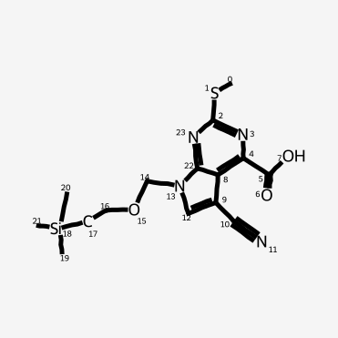 CSc1nc(C(=O)O)c2c(C#N)cn(COCC[Si](C)(C)C)c2n1